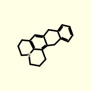 c1ccc2c(c1)Cc1cc3c4c(c1C2)CCCN4CCC3